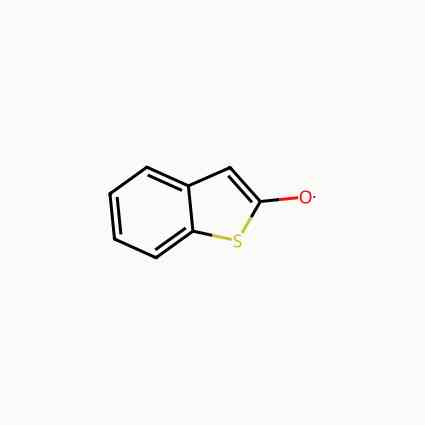 [O]c1cc2ccccc2s1